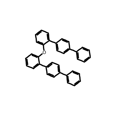 c1ccc(-c2ccc(-c3ccccc3Oc3ccccc3-c3ccc(-c4ccccc4)cc3)cc2)cc1